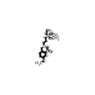 COc1ccc(COCCC[Si](OC)(OC)OC)c([N+](=O)[O-])c1